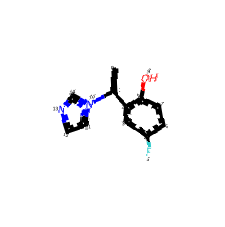 C=C(c1cc(F)ccc1O)n1ccnc1